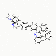 C1=Cc2nc(-c3cccc(-c4ccc(-c5ccnc6c5ccc5cccnc56)cc4)c3)c3c4ccccc4c4ccccc4c3c2CC1